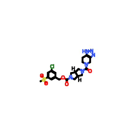 CS(=O)(=O)c1cc(Cl)cc(COC(=O)N2C[C@@H]3CN(C(=O)N4CCc5[nH]nnc5C4)C[C@H]3C2)c1